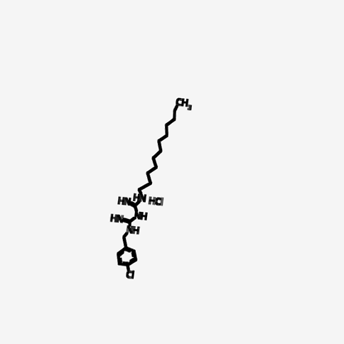 CCCCCCCCCCCCNC(=N)NC(=N)NCc1ccc(Cl)cc1.Cl